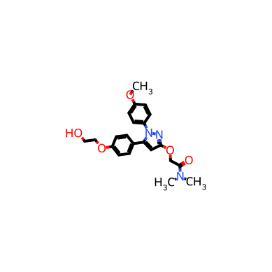 COc1ccc(-n2nc(OCC(=O)N(C)C)cc2-c2ccc(OCCO)cc2)cc1